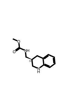 COC(=O)NC[C@@H]1CNc2ccccc2C1